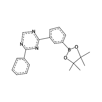 CC1(C)OB(c2cccc(-c3ncnc(-c4ccccc4)n3)c2)OC1(C)C